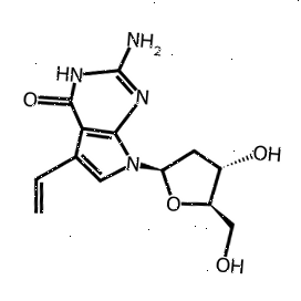 C=Cc1cn([C@H]2C[C@H](O)[C@@H](CO)O2)c2nc(N)[nH]c(=O)c12